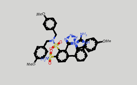 COc1ccc(CN(Cc2ccc(OC)cc2)S(=O)(=O)c2c(S(N)(=O)=O)ccc(-c3cccc4[nH]c(N)nc34)c2-c2nnnn2Cc2ccc(OC)cc2)cc1